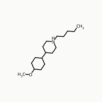 CCCCC[SiH]1CCC(C2CCC(OC)CC2)CC1